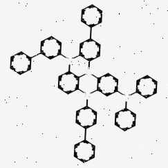 c1ccc(-c2ccc(N3c4cc(N(c5ccccc5)c5ccccc5)ccc4B4c5ccc(-c6ccccc6)cc5N(c5cccc(-c6ccccc6)c5)c5cccc3c54)cc2)cc1